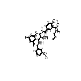 CCCN(C)C(=O)c1cc(C(=O)N[C@@H](Cc2cc(F)cc(F)c2)[C@H](O)CNCc2cccc(OC)c2)ccc1O